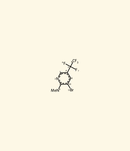 CNc1ncc(C(F)(F)C(F)(F)F)cc1Br